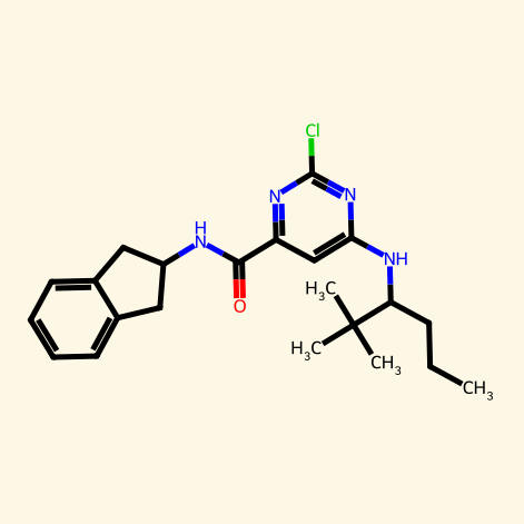 CCCC(Nc1cc(C(=O)NC2Cc3ccccc3C2)nc(Cl)n1)C(C)(C)C